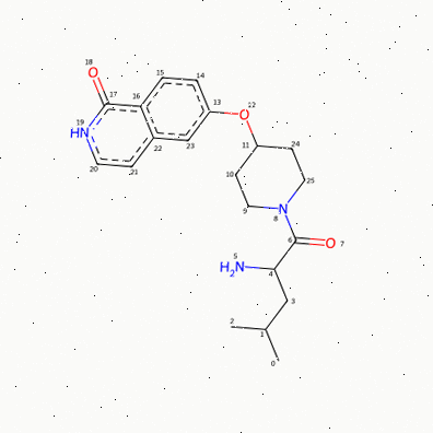 CC(C)CC(N)C(=O)N1CCC(Oc2ccc3c(=O)[nH]ccc3c2)CC1